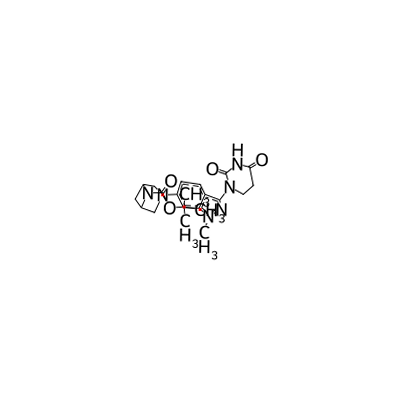 Cn1nc(N2CCC(=O)NC2=O)c2ccc(N3CC4CC(C3)N4C(=O)OC(C)(C)C)cc21